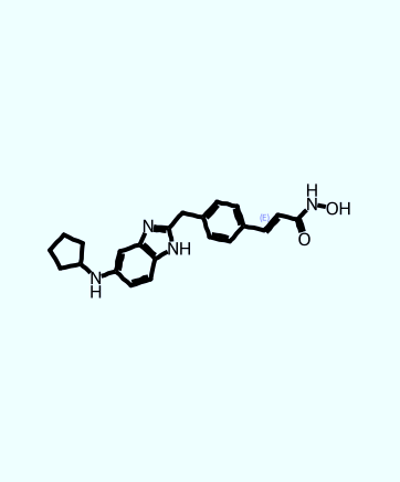 O=C(/C=C/c1ccc(Cc2nc3cc(NC4CCCC4)ccc3[nH]2)cc1)NO